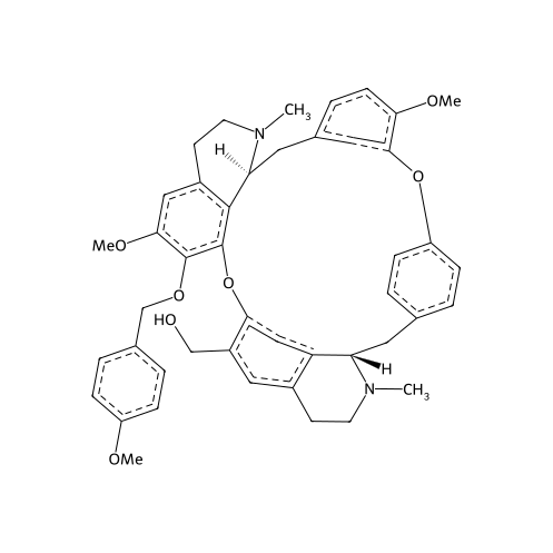 COc1ccc(COc2c(OC)cc3c4c2Oc2cc5c(cc2CO)CCN(C)[C@H]5Cc2ccc(cc2)Oc2cc(ccc2OC)C[C@@H]4N(C)CC3)cc1